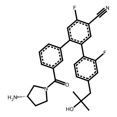 CC(C)(O)Cc1ccc(-c2cc(C#N)c(F)cc2-c2cccc(C(=O)N3CC[C@H](N)C3)c2)c(F)c1